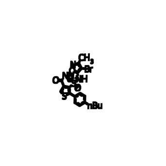 CCCCc1ccc(-c2scc(C(N)=O)c2S(=O)(=O)Nc2onc(C)c2Br)cc1